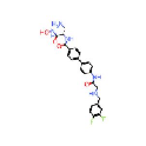 NC[C@H](NC(=O)c1ccc(-c2ccc(NC(=O)CNCc3ccc(F)c(F)c3)cc2)cc1)C(=O)NO